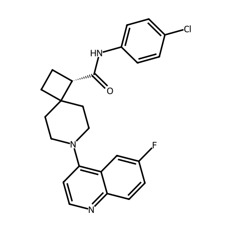 O=C(Nc1ccc(Cl)cc1)[C@H]1CCC12CCN(c1ccnc3ccc(F)cc13)CC2